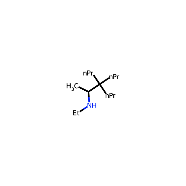 CCCC(CCC)(CCC)C(C)NCC